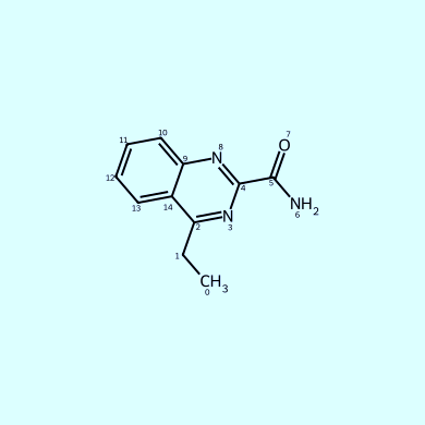 CCc1nc(C(N)=O)nc2ccccc12